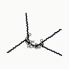 CCCCC/C=C/C/C=C/CCCCCCCC(=O)OCC(COP(=O)(O)OCC(O)COP(=O)(O)OCC(COC(=O)CCCCCCC/C=C/C/C=C/CCCCC)OC(=O)CCCCCCC/C=C/C/C=C/CCCCC)OC(=O)CCCCCCC/C=C/C/C=C/CCCCC